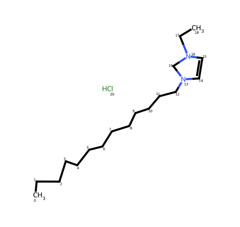 CCCCCCCCCCCCCN1C=CN(CC)C1.Cl